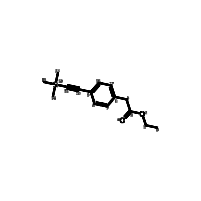 CCOC(=O)Cc1ccc(C#C[Si](C)(C)C)cc1